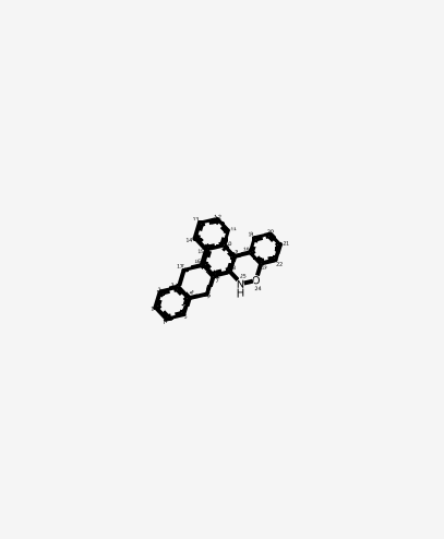 c1ccc2c(c1)Cc1c3c(c4ccccc4c1C2)-c1ccccc1ON3